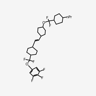 CCCC1CCC(C(F)(F)OC2CCC(/C=C/C3CCC(C(F)(F)Oc4cc(F)c(F)c(F)c4)CC3)CC2)CC1